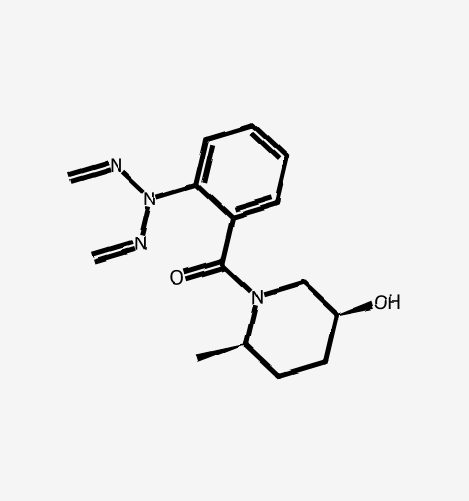 C=NN(N=C)c1ccccc1C(=O)N1C[C@@H](O)CC[C@H]1C